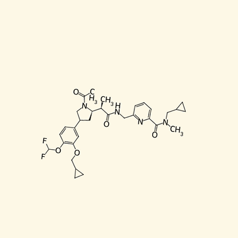 CC(=O)N1CC(c2ccc(OC(F)F)c(OCC3CC3)c2)C[C@@H]1[C@@H](C)C(=O)NCc1cccc(C(=O)N(C)CC2CC2)n1